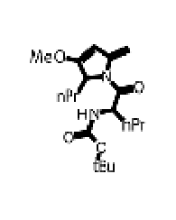 C=C1C=C(OC)C(CCC)N1C(=O)C(CCC)NC(=O)OC(C)(C)C